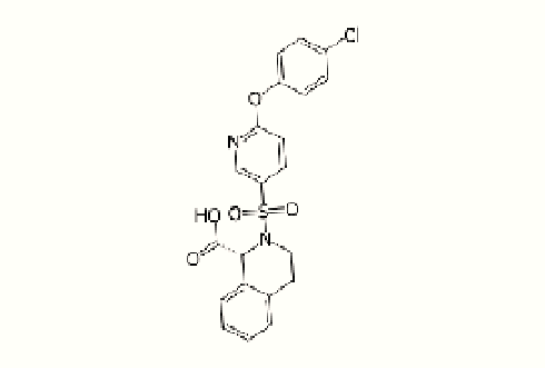 O=C(O)[C@H]1c2ccccc2CCN1S(=O)(=O)c1ccc(Oc2ccc(Cl)cc2)nc1